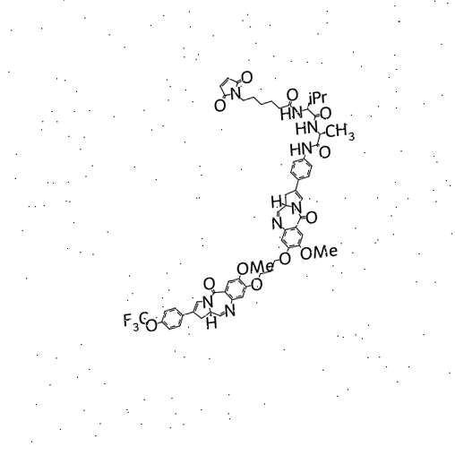 COc1cc2c(cc1OCCCOc1cc3c(cc1OC)C(=O)N1C=C(c4ccc(OC(F)(F)F)cc4)C[C@H]1C=N3)N=C[C@@H]1CC(c3ccc(NC(=O)[C@H](C)NC(=O)[C@@H](NC(=O)CCCCCN4C(=O)C=CC4=O)C(C)C)cc3)=CN1C2=O